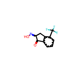 O=C1/C(=N\O)Cc2c1cccc2C(F)(F)F